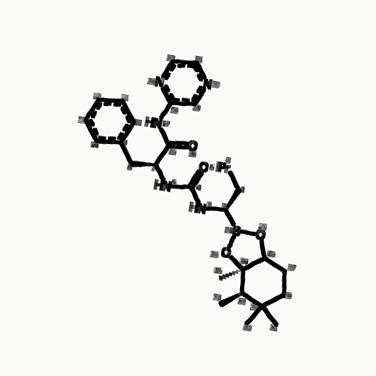 CC(C)C[C@H](NC(=O)N[C@@H](Cc1ccccc1)C(=O)Nc1cnccn1)B1OC2CCC(C)(C)[C@@H](C)[C@@]2(C)O1